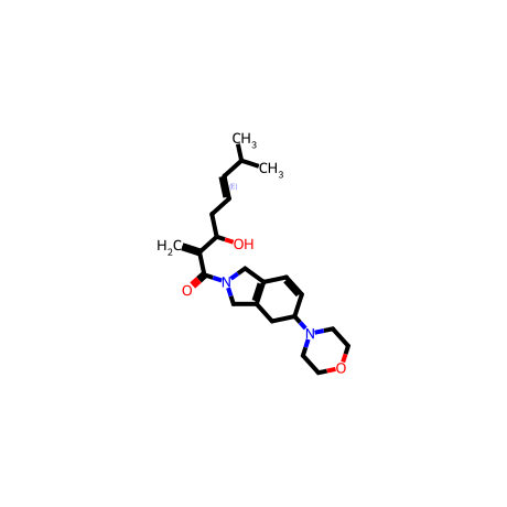 C=C(C(=O)N1CC2=C(CC(N3CCOCC3)C=C2)C1)C(O)C/C=C/C(C)C